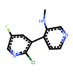 CNc1cnccc1-c1cc(F)cnc1Cl